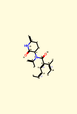 C=C1CCC(N(C(=C)C)C(=O)C(=C/C=C\C)/C(C)=C\C)C(=O)N1